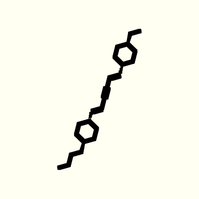 CCCC[C@H]1CC[C@H](/C=C/C#C/C=C/[C@H]2CC[C@H](CC)CC2)CC1